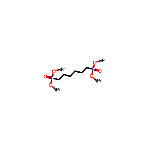 CC(C)OP(=O)(CCCCCCP(=O)(OC(C)C)OC(C)C)OC(C)C